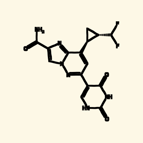 NC(=O)c1cn2nc(-c3c[nH]c(=O)[nH]c3=O)cc([C@H]3C[C@@H]3C(F)F)c2n1